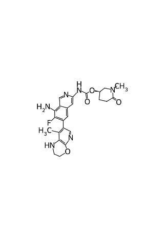 Cc1c(-c2cc3cc(NC(=O)O[C@@H]4CCC(=O)N(C)C4)ncc3c(N)c2F)cnc2c1NCCO2